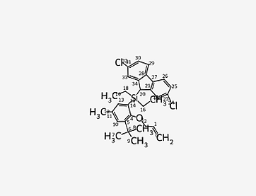 C=CCOc1c(C(C)(C)C)cc(C)cc1[Si](CC)(CC)C1c2cc(Cl)ccc2-c2ccc(Cl)cc21